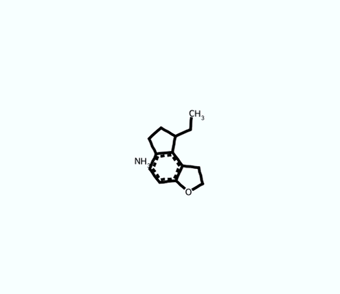 CCC1CCc2ccc3c(c21)CCO3.N